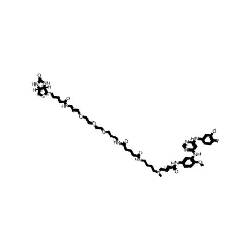 COc1ccc(NC(=O)/C=C/CN(C)CCCCNC(=O)CCCC(=O)NCCCOCCOCCOCCCNC(=O)CCCC[C@@H]2SC[C@@H]3NC(=O)N[C@@H]32)cc1Nc1cc(Nc2ccc(F)c(Cl)c2)ncn1